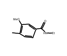 CCNC(=O)c1ccc(C)c(OC)c1